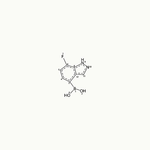 OB(O)c1ccc(F)c2[nH]ncc12